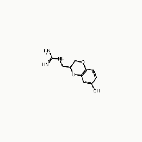 N=C(N)NCC1COc2ccc(O)cc2O1